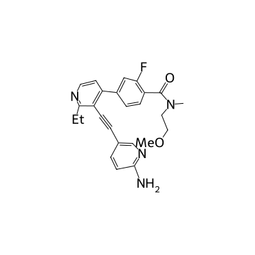 CCc1nccc(-c2ccc(C(=O)N(C)CCOC)c(F)c2)c1C#Cc1ccc(N)nc1